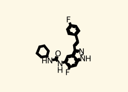 O=C(Nc1cc2c(C=Cc3ccc(F)cc3)n[nH]c2cc1F)NC1CCCCC1